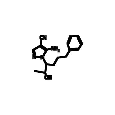 CC(O)C(CCCc1ccccc1)n1ncc(C#N)c1N